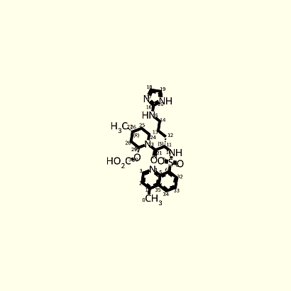 Cc1ccnc2c(S(=O)(=O)N[C@@H](CCCNc3ncc[nH]3)C(=O)N3CC[C@@H](C)C[C@H]3OC(=O)O)cccc12